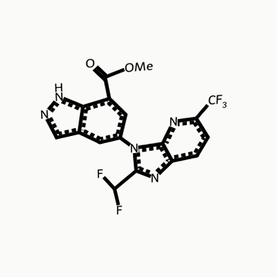 COC(=O)c1cc(-n2c(C(F)F)nc3ccc(C(F)(F)F)nc32)cc2cn[nH]c12